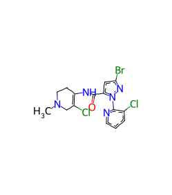 CN1CCC(NC(=O)c2cc(Br)nn2-c2ncccc2Cl)=C(Cl)C1